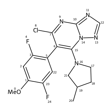 COc1cc(F)c(-c2c(Cl)nc3ncnn3c2N2CCC(C)C2)cc1F